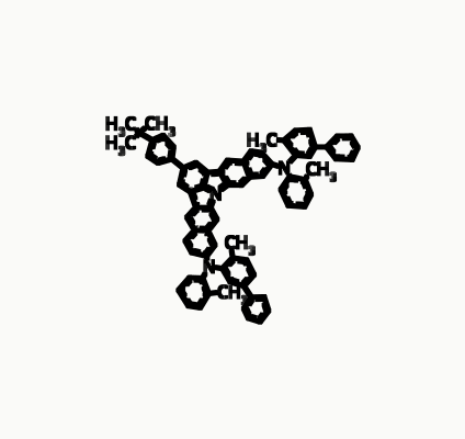 Cc1ccccc1N(c1ccc2cc3c4cc(-c5ccc(C(C)(C)C)cc5)cc5c6cc7ccc(N(c8ccccc8C)c8cc(-c9ccccc9)ccc8C)cc7cc6n(c3cc2c1)c45)c1cc(-c2ccccc2)ccc1C